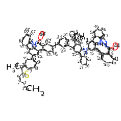 C=CC/C=C\c1sc2ccc(-c3cc4c5ccc(-c6ccc7c(c6)-c6cc8c9ccccc9n(-c9cc%10c%11ccccc%11c(=O)n%11c%12ccccc%12c(c9)c%10%11)c8cc6C7(C)C)cc5c(=O)n5c6ccccc6c(c3)c45)cc2c1C